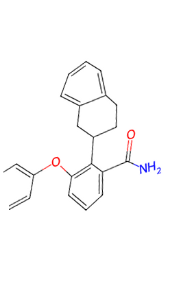 NC(=O)c1cccc(Oc2ccccc2)c1C1CCc2ccccc2C1